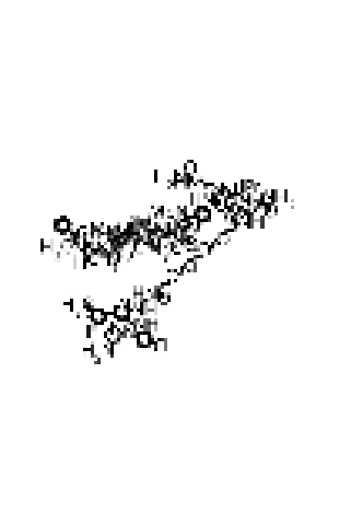 CC[C@H](C)[C@@H]([C@@H](CC(=O)N1CCC[C@H]1[C@H](OC)[C@@H](C)C(=O)N[C@H](C)[C@@H](O)c1ccccc1)OC)N(C)C(=O)[C@@H](NC(=O)[C@H](C(C)C)N(C)C(=O)OCc1ccc(NC(=O)[C@H](CCCNC(N)=O)NC(=O)[C@@H](NC(=O)[C@H](CCC(N)=O)NC(=O)CCOCCOCCOCCOCCC(=O)NCCNc2ncc(-c3cc(C)cc(F)c3)c(N3CCC(N)CC3)c2-c2nc3ccc(Cl)cc3[nH]2)C(C)C)cc1C(=O)NC)C(C)C